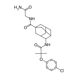 CC(C)(Oc1ccc(Cl)cc1)C(=O)NC1C2CC3CC1CC(C(=O)NCC(N)=O)(C3)C2